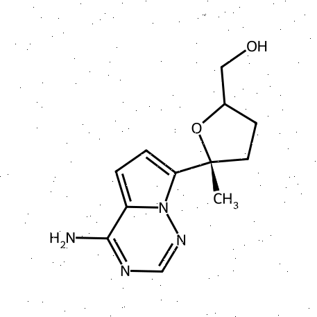 C[C@]1(c2ccc3c(N)ncnn23)CCC(CO)O1